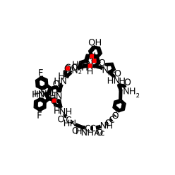 CC(=O)N[C@@H]1CCC(=O)NCCOc2ccc(cc2)C[C@@H](C(N)=O)NC(=O)[C@]2(C)CCCN2C(=O)[C@H](Cc2ccc(O)cc2)NC(=O)[C@H](Cc2cnc[nH]2)NC(=O)[C@H](CC(=O)O)NC(=O)[C@H](Cc2c[nH]c3ccc(F)cc23)NC(=O)[C@H](CCc2c[nH]c3ccc(F)cc23)NC(=O)CNC1=O